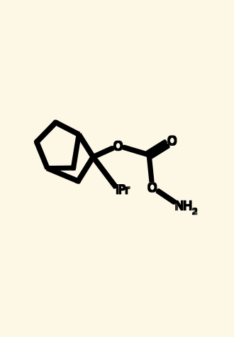 CC(C)C1(OC(=O)ON)CC2CCC1C2